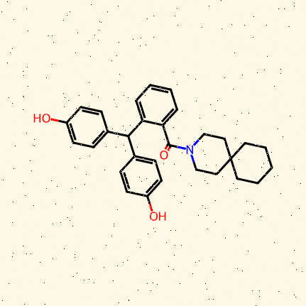 O=C(c1ccccc1C(c1ccc(O)cc1)c1ccc(O)cc1)N1CCC2(CCCCC2)CC1